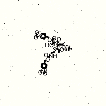 CC(=O)C(SCCNC(=O)OCc1ccc([N+](=O)[O-])cc1)[C@H]1[C@@H]([C@@H](C)O[Si](C)(C)C(C)(C)C)C(=O)N1C(O)C(=O)OCc1ccc([N+](=O)[O-])cc1